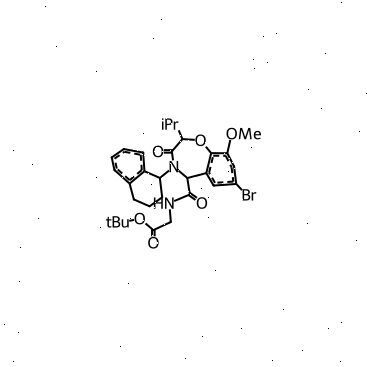 COc1cc(Br)cc2c1OC(C(C)C)C(=O)N(C1CCCc3ccccc31)C2C(=O)NCC(=O)OC(C)(C)C